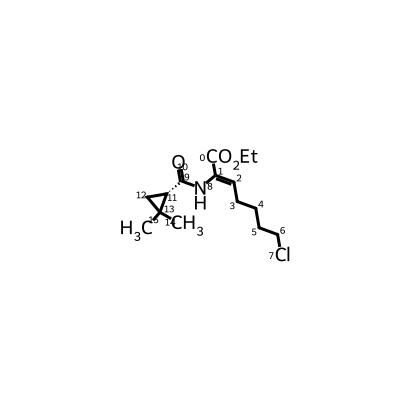 CCOC(=O)/C(=C/CCCCCl)NC(=O)[C@H]1CC1(C)C